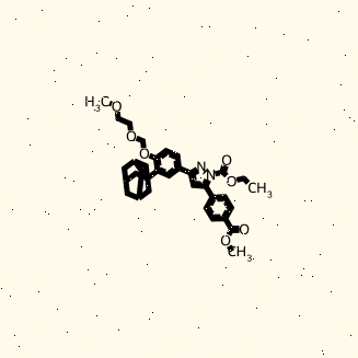 CCOC(=O)n1nc(-c2ccc(OCOCCOC)c(C34CC5CC(CC(C5)C3)C4)c2)cc1-c1ccc(C(=O)OC)cc1